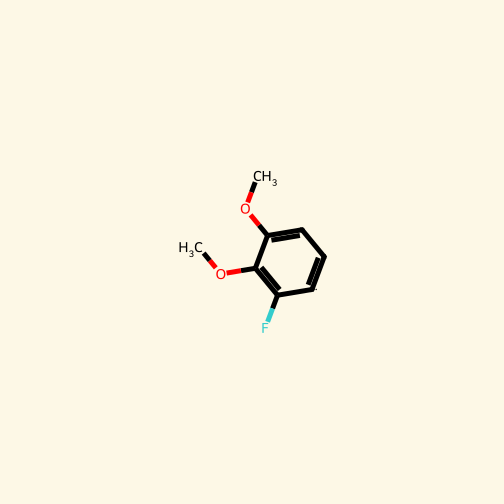 COc1cc[c]c(F)c1OC